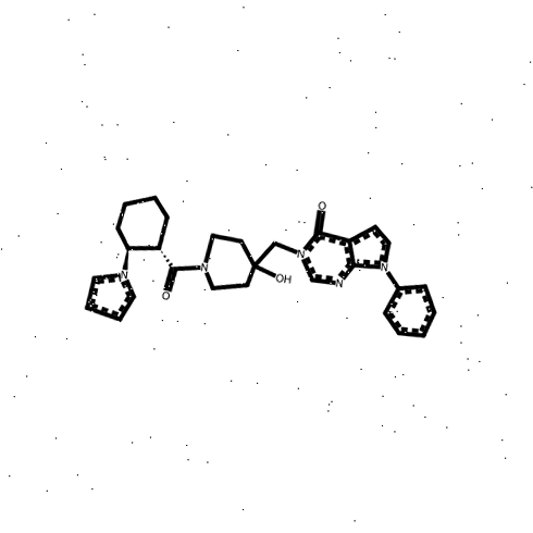 O=C([C@H]1CCCC[C@@H]1n1cccc1)N1CCC(O)(Cn2cnc3c(ccn3-c3ccccc3)c2=O)CC1